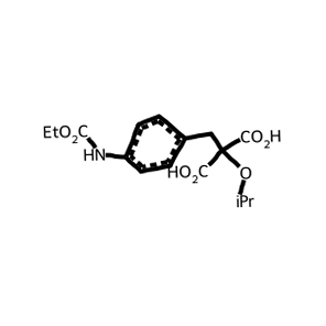 CCOC(=O)Nc1ccc(CC(OC(C)C)(C(=O)O)C(=O)O)cc1